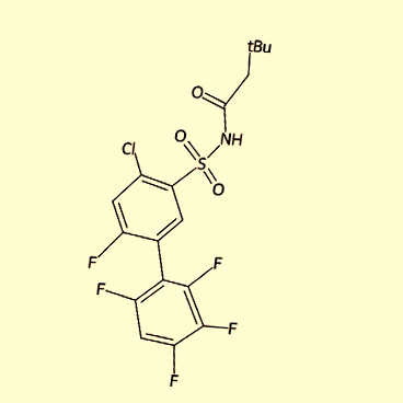 CC(C)(C)CC(=O)NS(=O)(=O)c1cc(-c2c(F)cc(F)c(F)c2F)c(F)cc1Cl